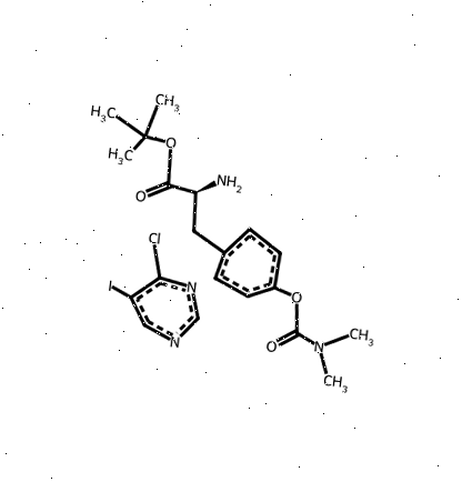 CN(C)C(=O)Oc1ccc(C[C@H](N)C(=O)OC(C)(C)C)cc1.Clc1ncncc1I